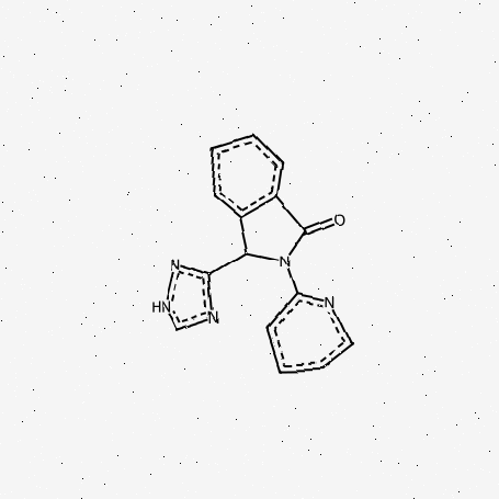 O=C1c2ccccc2C(c2nc[nH]n2)N1c1ccccn1